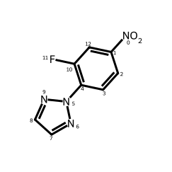 O=[N+]([O-])c1ccc(-n2nccn2)c(F)c1